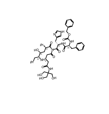 CC(C)C[C@H](N)[C@@H](O)C[C@H](C(=O)N(C(=O)CCCC(=O)NC(CO)(CO)CO)C(=O)[C@H](Cc1c[nH]cn1)NC(=O)[C@H](Cc1ccccc1)NC(=O)OCc1ccccc1)C(C)C